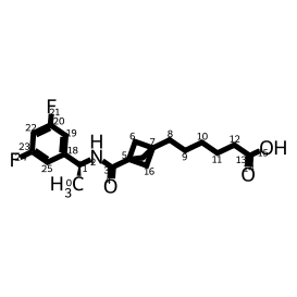 C[C@H](NC(=O)C12CC(CCCCCC(=O)O)(C1)C2)c1cc(F)cc(F)c1